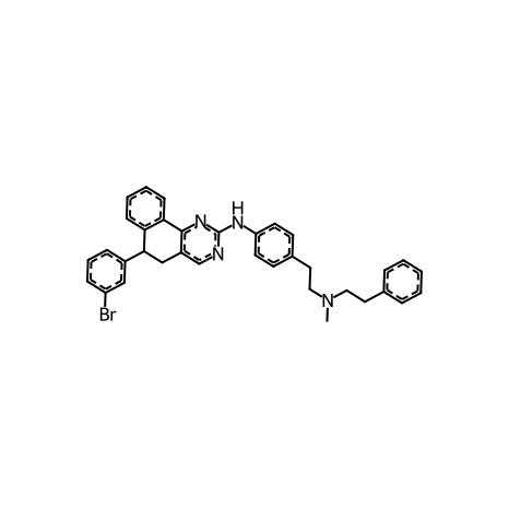 CN(CCc1ccccc1)CCc1ccc(Nc2ncc3c(n2)-c2ccccc2C(c2cccc(Br)c2)C3)cc1